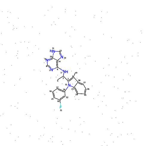 Cc1c(C(C)Nc2ncnc3[nH]cnc23)n(-c2cccc(F)c2)c2ccccc12